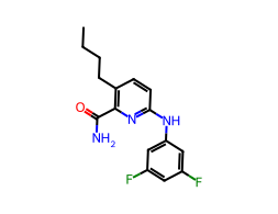 CCCCc1ccc(Nc2cc(F)cc(F)c2)nc1C(N)=O